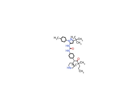 CCCC(C)(C)C(=O)C(c1ccc(NC(=O)Nc2cc(C(C)(C)C)nn2-c2ccc(C)cc2)cc1)C1CCNCC1